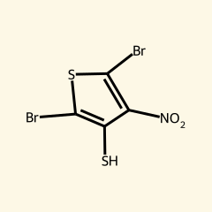 O=[N+]([O-])c1c(Br)sc(Br)c1S